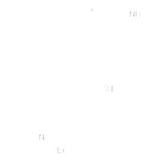 CCN(CC)CCCC(S)CCC(N)=O